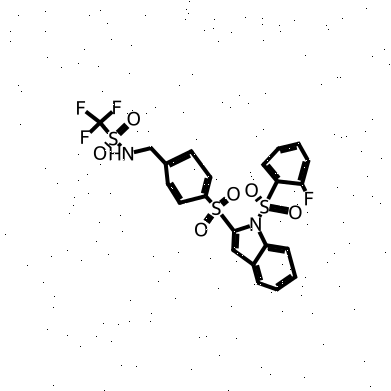 O=S(=O)(c1ccc(CNS(=O)(=O)C(F)(F)F)cc1)c1cc2ccccc2n1S(=O)(=O)c1ccccc1F